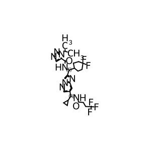 CC(C)n1nncc1C(=O)N[C@H](c1cn2ncc([C@H](NC(=O)CCC(F)(F)F)C3CC3)cc2n1)C1CCC(F)(F)CC1